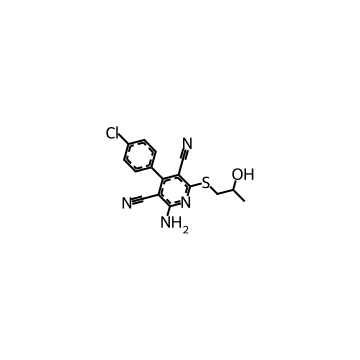 CC(O)CSc1nc(N)c(C#N)c(-c2ccc(Cl)cc2)c1C#N